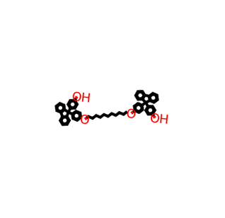 Oc1ccc(C2(c3ccc(OCCCCCCCCCCCOc4ccc(C5(c6ccc(O)cc6)c6ccccc6-c6ccccc65)cc4)cc3)c3ccccc3-c3ccccc32)cc1